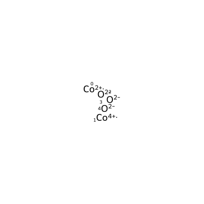 [Co+2].[Co+4].[O-2].[O-2].[O-2]